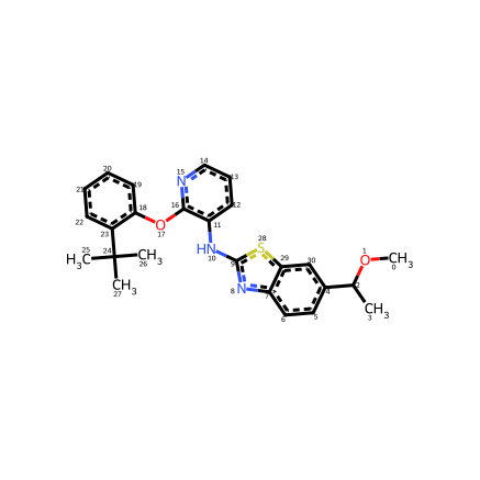 COC(C)c1ccc2nc(Nc3cccnc3Oc3ccccc3C(C)(C)C)sc2c1